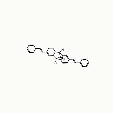 O=C1[C@@H]2c3ccc(/C=C/c4ccccc4)cc3[C@H]1C1C=CC(/C=C/C3C=CC=CC3)=CC12